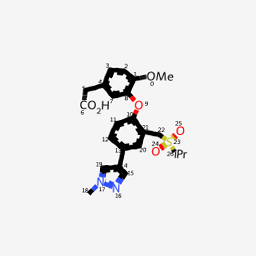 COc1ccc(CC(=O)O)cc1Oc1ccc(-c2cnn(C)c2)cc1CS(=O)(=O)C(C)C